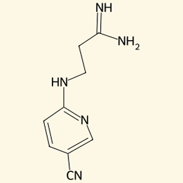 N#Cc1ccc(NCCC(=N)N)nc1